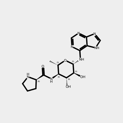 C[C@@H]1O[C@H](Nc2ncnc3nc[nH]c23)[C@@H](O)[C@H](O)[C@H]1NC(=O)[C@H]1CCCN1